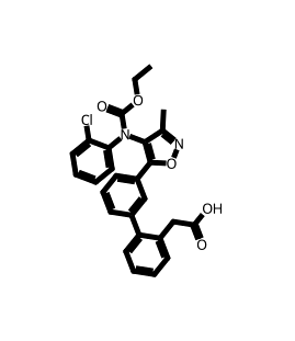 CCOC(=O)N(c1ccccc1Cl)c1c(C)noc1-c1cccc(-c2ccccc2CC(=O)O)c1